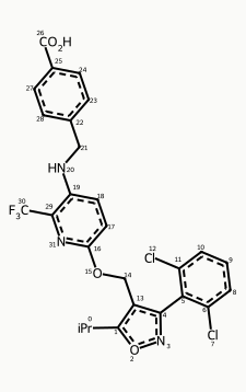 CC(C)c1onc(-c2c(Cl)cccc2Cl)c1COc1ccc(NCc2ccc(C(=O)O)cc2)c(C(F)(F)F)n1